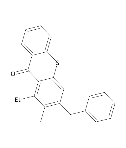 CCc1c(C)c(Cc2ccccc2)cc2sc3ccccc3c(=O)c12